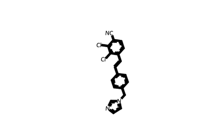 N#Cc1ccc(C=Cc2ccc(Cn3ccnc3)cc2)c(Cl)c1Cl